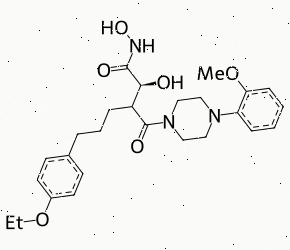 CCOc1ccc(CCCC(C(=O)N2CCN(c3ccccc3OC)CC2)[C@H](O)C(=O)NO)cc1